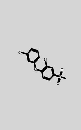 CS(=O)(=O)c1ccc(Oc2c[c]cc(Cl)c2)c(Cl)c1